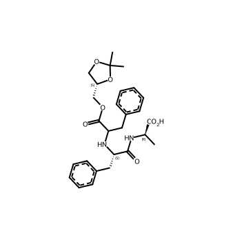 C[C@@H](NC(=O)[C@H](Cc1ccccc1)NC(Cc1ccccc1)C(=O)OC[C@@H]1COC(C)(C)O1)C(=O)O